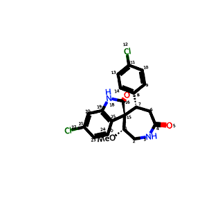 CO[C@H]1CNC(=O)C[C@@H](c2ccc(Cl)cc2)[C@]12C(=O)Nc1cc(Cl)ccc12